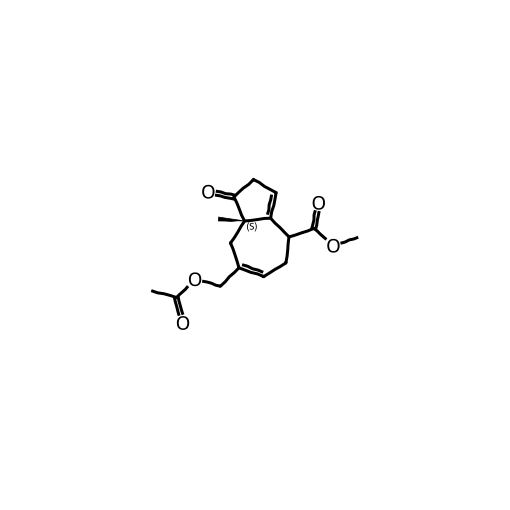 COC(=O)C1CC=C(COC(C)=O)C[C@]2(C)C(=O)CC=C12